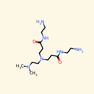 CN(C)CCN(CCC(=O)NCCN)CCC(=O)NCCN